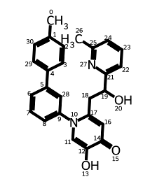 Cc1ccc(-c2cccc(-n3cc(O)c(=O)cc3CC(O)c3cccc(C)n3)c2)cc1